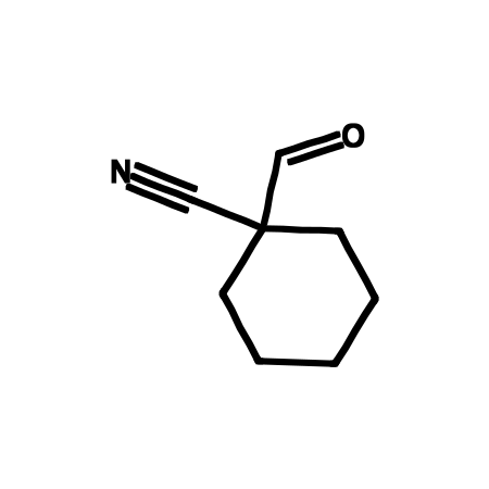 N#CC1(C=O)CCCCC1